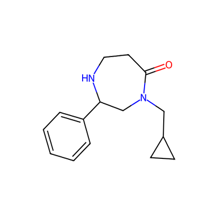 O=C1CCNC(c2ccccc2)CN1CC1CC1